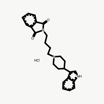 Cl.O=C1c2ccccc2C(=O)N1CCCCN1CCC(c2c[nH]c3ccccc23)CC1